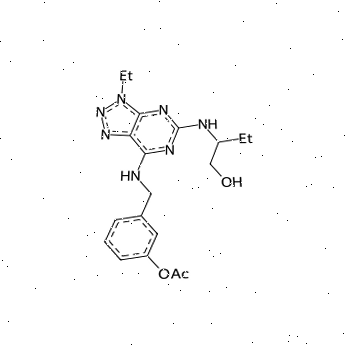 CCC(CO)Nc1nc(NCc2cccc(OC(C)=O)c2)c2nnn(CC)c2n1